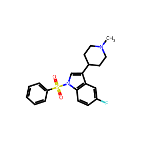 CN1CCC(c2cn(S(=O)(=O)c3ccccc3)c3ccc(F)cc23)CC1